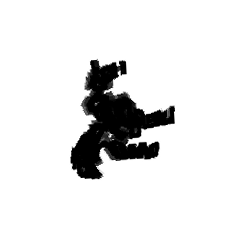 COCCCN1C(=O)C(F)(F)Oc2ccc(N(C(=O)[C@H]3CN(C(=O)OC(C)(C)C)CC[C@@H]3c3cccc(-c4ccc(F)c(O)c4)c3)C3CC3)cc21